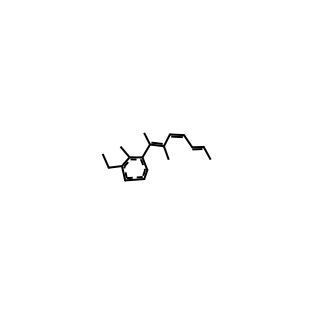 C/C=C/C=C\C(C)=C(/C)c1cccc(CC)c1C